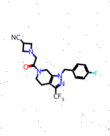 N#CC1CN(CC(=O)N2CCc3c(C(F)(F)F)nn(Cc4ccc(F)cc4)c3C2)C1